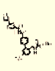 C[C@@H](NC(=O)c1cnc([C@H]2CCOC2)s1)c1ccc(-c2cc(C(F)(F)F)ccc2CNC(=O)OC(C)(C)C)cc1